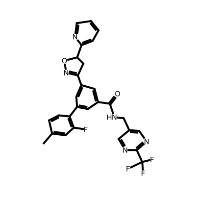 Cc1ccc(-c2cc(C(=O)NCc3cnc(C(F)(F)F)nc3)cc(C3=NOC(c4ccccn4)C3)c2)c(F)c1